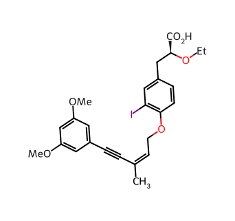 CCO[C@@H](Cc1ccc(OCC=C(C)C#Cc2cc(OC)cc(OC)c2)c(I)c1)C(=O)O